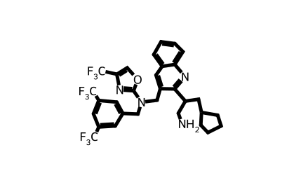 NCC(CC1CCCC1)c1nc2ccccc2cc1CN(Cc1cc(C(F)(F)F)cc(C(F)(F)F)c1)c1nc(C(F)(F)F)co1